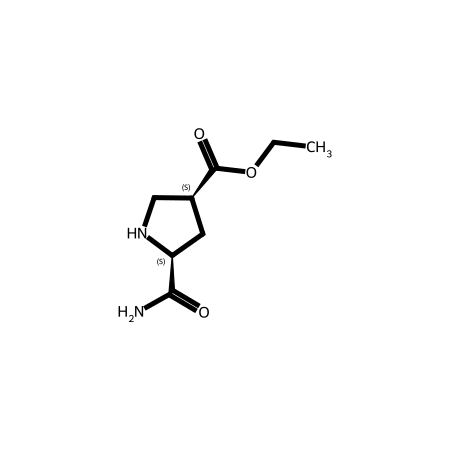 CCOC(=O)[C@@H]1CN[C@H](C(N)=O)C1